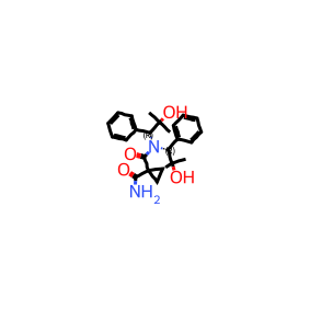 CC(C)(O)[C@@H](c1ccccc1)N(C(=O)C1(C(N)=O)CC1)[C@H](c1ccccc1)C(C)(C)O